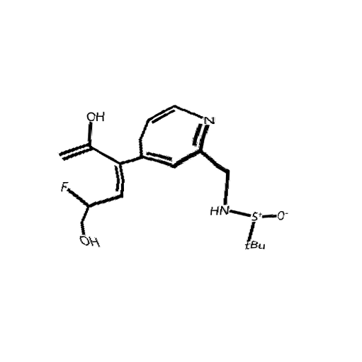 C=C(O)/C(=C\C(O)F)c1ccnc(CN[S+]([O-])C(C)(C)C)c1